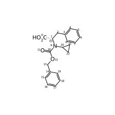 O=C(O)[C@H](Cc1ccccc1)N(C(=O)OCc1ccccc1)C1CC1